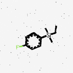 CC[Si](C)(C)c1ccc(F)cc1